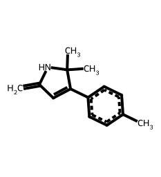 C=C1C=C(c2ccc(C)cc2)C(C)(C)N1